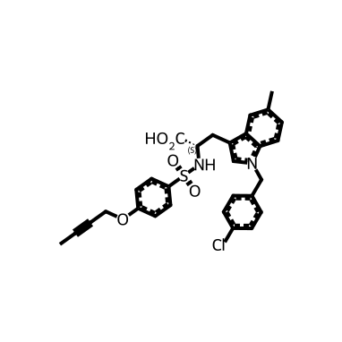 CC#CCOc1ccc(S(=O)(=O)N[C@@H](Cc2cn(Cc3ccc(Cl)cc3)c3ccc(C)cc23)C(=O)O)cc1